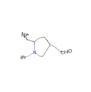 CC(C)N1CC(C=O)CC1C#N